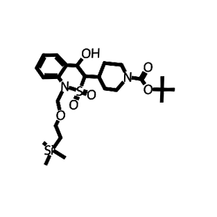 CC(C)(C)OC(=O)N1CCC(C2C(O)c3ccccc3N(COCC[Si](C)(C)C)S2(=O)=O)CC1